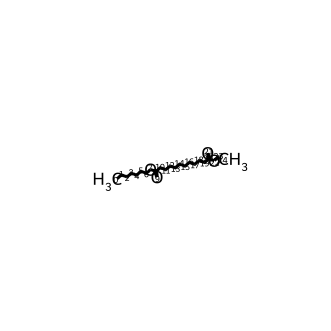 CCCCCCCOC(=O)CCCCCCCCCCC(=O)OCC